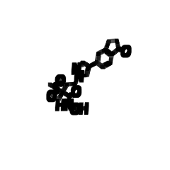 CC(CCn1cc(-c2ccc3c(c2)CCC3=O)cn1)(C(=O)NO)S(C)(=O)=O